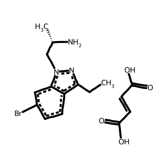 CCc1nn(C[C@H](C)N)c2cc(Br)ccc12.O=C(O)C=CC(=O)O